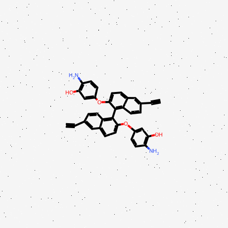 C#Cc1ccc2c(-c3c(Oc4ccc(N)c(O)c4)ccc4cc(C#C)ccc34)c(Oc3ccc(N)c(O)c3)ccc2c1